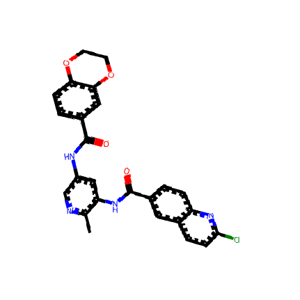 Cc1ncc(NC(=O)c2ccc3c(c2)OCCO3)cc1NC(=O)c1ccc2nc(Cl)ccc2c1